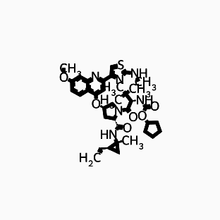 C=C[C@@H]1C[C@@]1(C)NC(=O)[C@@H]1C[C@@H](Oc2cc(-c3csc(NC)n3)nc3cc(OC)ccc23)CN1C(=O)[C@@H](NC(=O)OC1CCCC1)C(C)(C)C